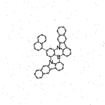 c1ccc2cc3c(cc2c1)c1cccc2c1n3-c1cc(-c3cccc4ccccc34)cc3c1B2c1cccc2c4cc5ccccc5cc4n-3c12